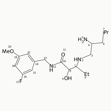 CCC(NCC(N)CC(C)C)C(O)C(=O)NCc1cc(F)cc(OC)c1